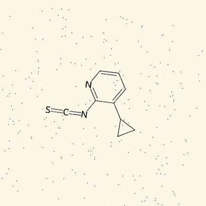 S=C=Nc1ncccc1C1CC1